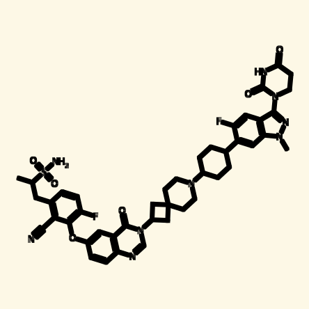 CC(Cc1ccc(F)c(Oc2ccc3ncn(C4CC5(CCN(C6CCC(c7cc8c(cc7F)c(N7CCC(=O)NC7=O)nn8C)CC6)CC5)C4)c(=O)c3c2)c1C#N)S(N)(=O)=O